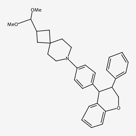 COC(OC)C1CC2(CCN(c3ccc(C4c5ccccc5OCC4c4ccccc4)cc3)CC2)C1